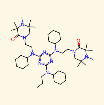 CCCN(c1nc(N(CCN2CC(C)(C)N(C)C(C)(C)C2=O)C2CCCCC2)nc(N(CCN2CC(C)(C)N(C)C(C)(C)C2=O)C2CCCCC2)n1)C1CCCCC1